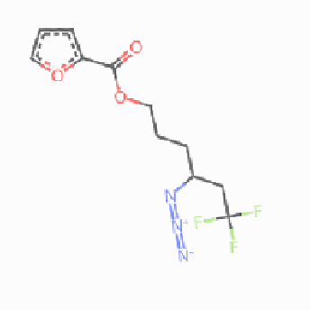 [N-]=[N+]=NC(CCCOC(=O)c1ccco1)CC(F)(F)F